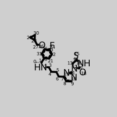 C[C@@H](NCCCCc1ccnc(N2CC(=S)NC2=O)n1)c1ccc(F)c(OCC2CC2)c1